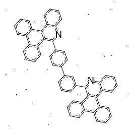 c1cc(-c2ccc(-c3nc4ccccc4c4c5ccccc5c5ccccc5c34)cc2)cc(-c2nc3ccccc3c3c4ccccc4c4ccccc4c23)c1